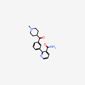 CN1CCC(C(=O)c2cccc(-c3ncccc3C(N)=O)c2)CC1